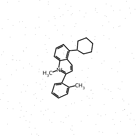 Cc1ccccc1-c1ccc2c(C3CCCCC3)cccc2[n+]1C